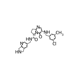 Cc1cc(Cl)cc(CNc2cnc3n(c2=O)[C@H](C(=O)NCc2cnc4c(c2)CNC4)CC3)c1